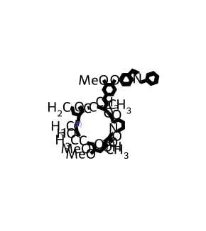 C=CCC1/C=C(\C)C(O)C(C)CC(OC)C2OC(O)(C(=O)C(=O)N3CCCCC3C(=O)OC(C(C)=CC3CCC(Oc4ccc5c(ccn5Cc5ccccc5)c4)C(OC)C3)C(C)CCC1=O)C(C)CC2OC